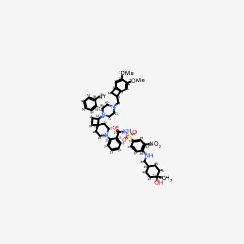 COc1cc2c(cc1OC)C(CN1CCN(C3CCC34CCN(c3ccccc3C(=O)NS(=O)(=O)c3ccc(NCC5CCC(C)(O)CC5)c([N+](=O)[O-])c3)CC4)[C@H](c3ccccc3C(C)C)C1)C2